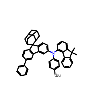 CC(C)(C)c1ccc(N(c2ccc3c(c2)-c2cc(-c4ccccc4)ccc2C32C3CC4CC(C3)CC2C4)c2cccc3c2-c2ccccc2C3(C)C)cc1